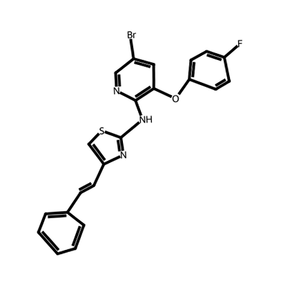 Fc1ccc(Oc2cc(Br)cnc2Nc2nc(C=Cc3ccccc3)cs2)cc1